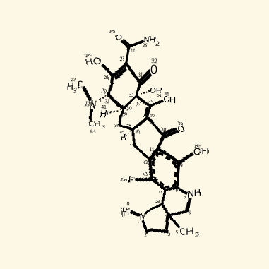 CC(C)N1CCC2(C)CNc3c(O)c4c(c(F)c3C12)C[C@H]1C[C@H]2[C@H](N(C)C)C(O)=C(C(N)=O)C(=O)[C@@]2(O)C(O)=C1C4=O